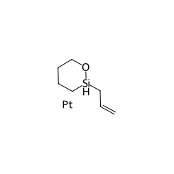 C=CC[SiH]1CCCCO1.[Pt]